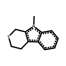 Cn1c2c(c3ccccc31)CCSC2